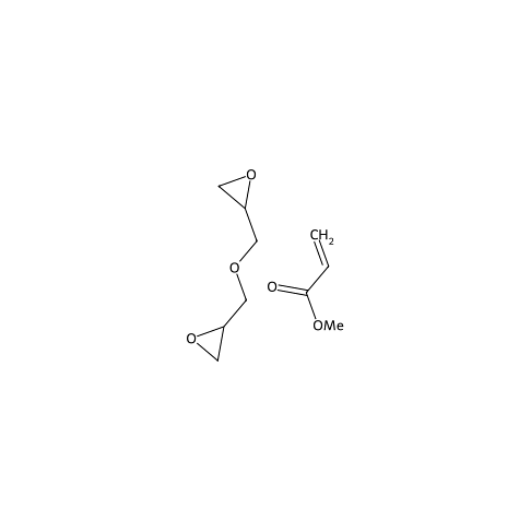 C(OCC1CO1)C1CO1.C=CC(=O)OC